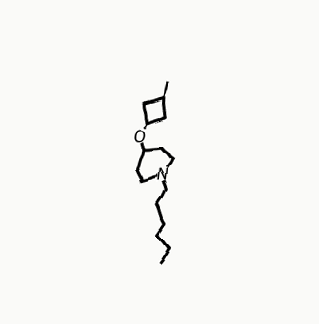 CCCCCCN1CCC(O[C@H]2C[C@H](C)C2)CC1